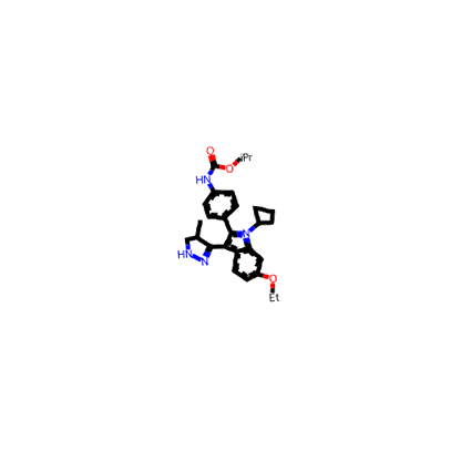 CCOc1ccc2c(C3=NNCC3C)c(-c3ccc(NC(=O)OC(C)C)cc3)n(C3CCC3)c2c1